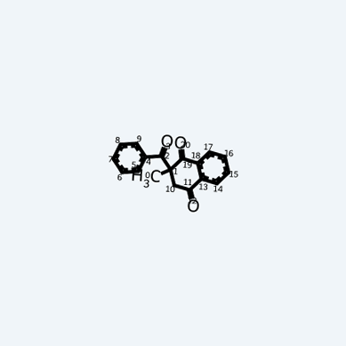 CC1(C(=O)c2ccccc2)CC(=O)c2ccccc2C1=O